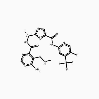 CNCc1c(N)ncnc1C(=O)N[C@H](C)c1ncc(C(=O)Nc2cc(C(F)(F)F)c(Cl)cn2)s1